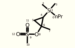 CCC[Si](C)(C)C1CC1(C)OS(C)(=O)=O